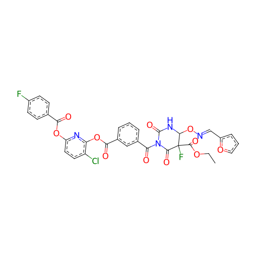 CCOC(=O)C1(F)C(=O)N(C(=O)c2cccc(C(=O)Oc3nc(OC(=O)c4ccc(F)cc4)ccc3Cl)c2)C(=O)NC1ON=Cc1ccco1